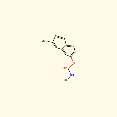 COc1ccc2ccc(OC(=O)NC(C)(C)C)cc2c1